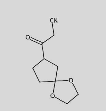 N#CCC(=O)C1CCC2(C1)OCCO2